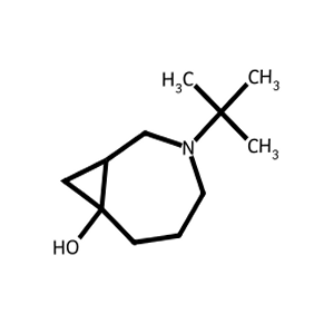 CC(C)(C)N1CCCC2(O)CC2C1